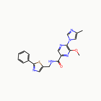 COc1nc(C(=O)NCc2cnc(-c3ccccc3)s2)cnc1-n1cnc(C)c1